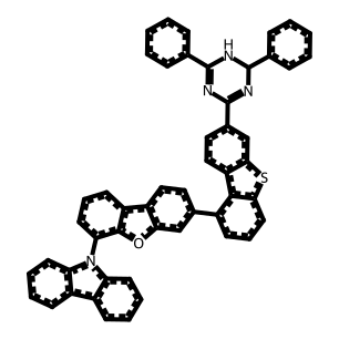 c1ccc(C2=NC(c3ccc4c(c3)sc3cccc(-c5ccc6c(c5)oc5c(-n7c8ccccc8c8ccccc87)cccc56)c34)=NC(c3ccccc3)N2)cc1